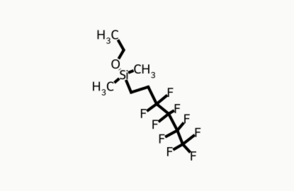 CCO[Si](C)(C)CCC(F)(F)C(F)(F)C(F)(F)C(F)(F)F